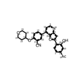 CC(=O)c1ccc(-c2cc3nccc(-c4ccc(OC5CCOCC5)c(C#N)c4)c3o2)c(O)c1